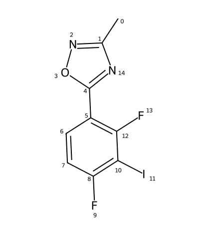 Cc1noc(-c2ccc(F)c(I)c2F)n1